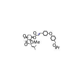 CO[C@H]1C([C@]2(C)OC2CC=C(C)C)[C@]2(CC[C@H]1OC(=O)/C=C/c1ccc(Oc3ccc(COC(C)C)cc3)cc1)CO2